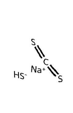 S=C=S.[Na+].[SH-]